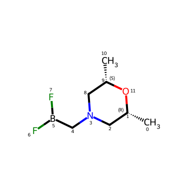 C[C@@H]1CN(CB(F)F)C[C@H](C)O1